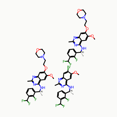 COc1cc2c(N[C@H](C)c3cccc(C(F)F)c3F)nc(C)nc2cc1Br.COc1cc2c(N[C@H](C)c3cccc(C(F)F)c3F)nc(C)nc2cc1OCCN1CCOCC1.COc1cc2c(N[C@H](C)c3cccc(C(F)F)c3F)nc(C)nc2cc1OCCN1CCOCC1